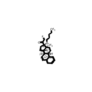 CCCCCO[C@]1(C(=O)CF)CC[C@H]2[C@@H]3CCC4CC=CC[C@]4(C)[C@H]3CC[C@@]21C